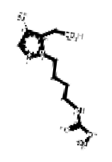 CC[C@@H](C)c1cnn(CCCCNC(=O)OC(C)(C)C)c1CC(=O)O